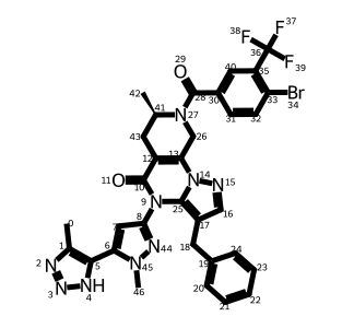 Cc1nn[nH]c1-c1cc(-n2c(=O)c3c(n4ncc(Cc5ccccc5)c24)CN(C(=O)c2ccc(Br)c(C(F)(F)F)c2)[C@H](C)C3)nn1C